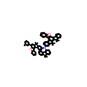 Cc1cccc(-c2cc3c(c4c2oc2ccccc24)-c2ccc(N(c4ccc5c(c4)C(C)(C)c4c6c(c7oc8ccccc8c7c4-5)-c4ccccc4C6(C)C)c4cccc5c4-c4ccccc4C5(C)C)cc2C3(C)C)c1